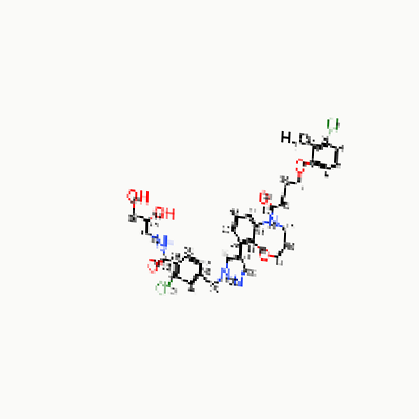 Cc1c(Cl)cccc1OCCCC(=O)N1CCCOc2c(-c3cnn(Cc4ccc(C(=O)NCC(O)CO)c(Cl)c4)c3)cccc21